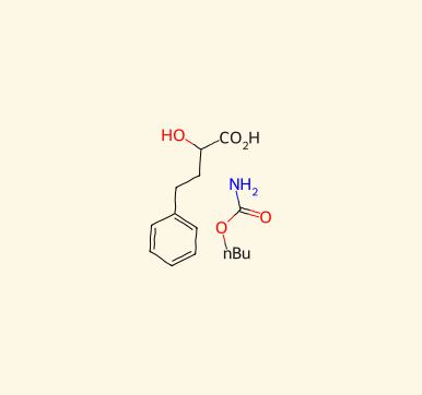 CCCCOC(N)=O.O=C(O)C(O)CCc1ccccc1